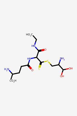 NC(CCC(=O)NC(C(=O)NCC(=O)O)C(=S)SCC(N)C(O)O)C(=O)O